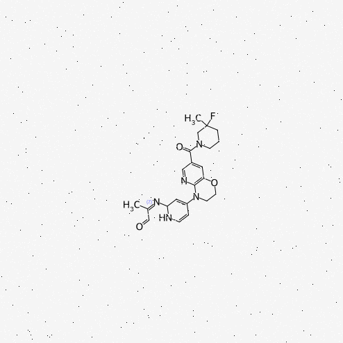 C/C(C=O)=N/C1C=C(N2CCOc3cc(C(=O)N4CCCC(C)(F)C4)cnc32)C=CN1